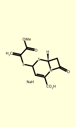 C=C(SC1C=C(C(=O)O)N2C(=O)C[C@H]2S1)C(=O)OC.[NaH]